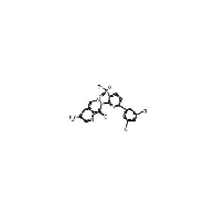 CCS(=O)(=O)c1ccc(-c2cc(Cl)cc(Cl)c2)nc1-n1ncc2cc(C(F)(F)F)cnc2c1=O